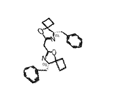 c1ccc(C[C@@H]2N=C(CC3=N[C@@H](Cc4ccccc4)C4(CCC4)O3)OC23CCC3)cc1